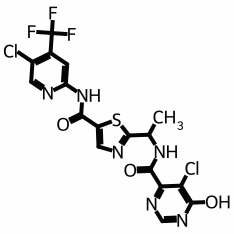 CC(NC(=O)c1ncnc(O)c1Cl)c1ncc(C(=O)Nc2cc(C(F)(F)F)c(Cl)cn2)s1